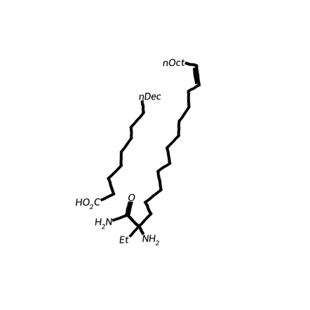 CCCCCCCC/C=C\CCCCCCCCCCC(N)(CC)C(N)=O.CCCCCCCCCCCCCCCCCC(=O)O